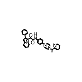 CC(c1ccccn1)N1C=CN(c2ccc(NC(=O)C(=O)c3c(-c4ccccc4)cc4ccccn34)cc2)C=C1